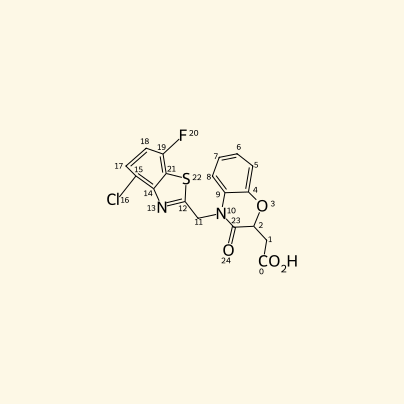 O=C(O)CC1Oc2ccccc2N(Cc2nc3c(Cl)ccc(F)c3s2)C1=O